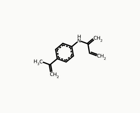 C=CC(=C)Nc1ccc(C(=C)C)cc1